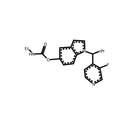 CCCC(c1ccncc1F)n1ccc2cc(OC(=O)NCC)ccc21